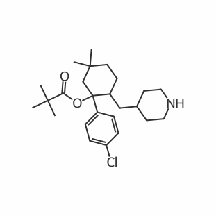 CC1(C)CCC(CC2CCNCC2)C(OC(=O)C(C)(C)C)(c2ccc(Cl)cc2)C1